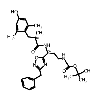 Cc1cc(O)cc(C)c1C[C@H](C)C(=O)N[C@@H](CCNC(=O)OC(C)(C)C)c1nc(Cc2ccccc2)no1